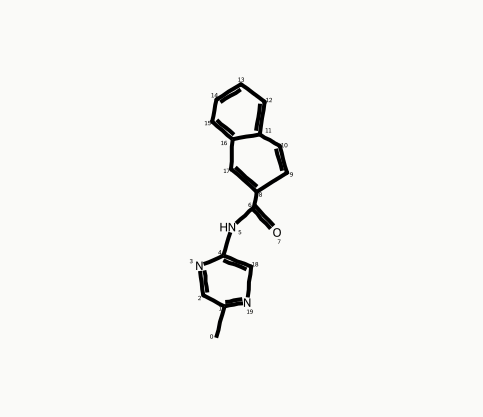 Cc1cnc(NC(=O)c2ccc3ccccc3c2)cn1